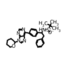 CC(C)(C)[S+]([O-])NC(Cc1ccccc1)c1ccc(-c2ncnc3c2ncn3C2CCCCO2)cc1